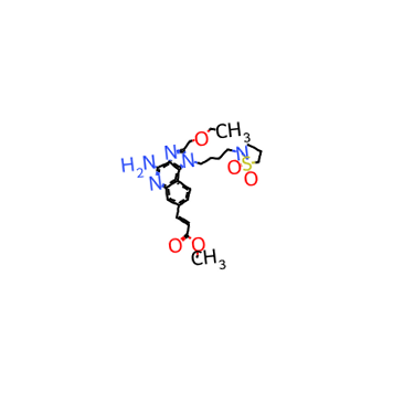 CCOCc1nc2c(N)nc3cc(/C=C/C(=O)OC)ccc3c2n1CCCCN1CCCS1(=O)=O